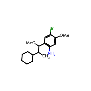 COc1cc(N)c(C(OC)C(C)C2CCCCC2)cc1Br